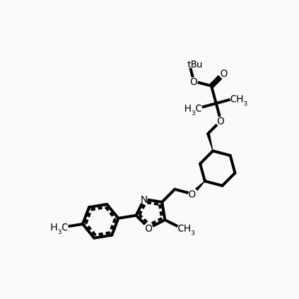 Cc1ccc(-c2nc(CO[C@@H]3CCC[C@H](COC(C)(C)C(=O)OC(C)(C)C)C3)c(C)o2)cc1